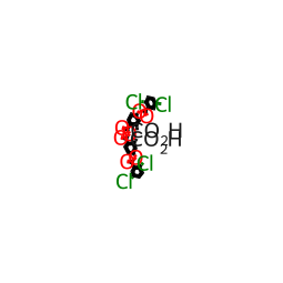 O=C(Oc1ccc(C(=O)OC(=O)c2ccc(OC(=O)c3cc(Cl)ccc3Cl)cc2C(=O)O)c(C(=O)O)c1)c1cc(Cl)ccc1Cl